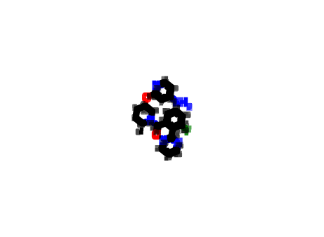 C[C@@H]1CC[C@@H](Oc2cc(N)ccn2)CN1C(=O)c1cccc(F)c1-c1ncccn1